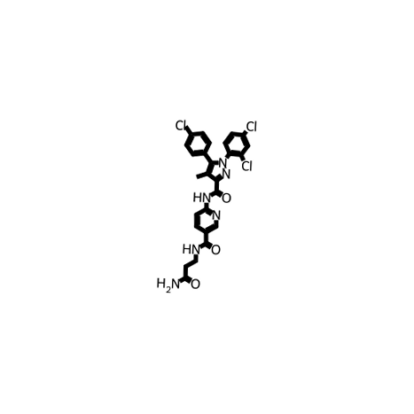 Cc1c(C(=O)Nc2ccc(C(=O)NCCC(N)=O)cn2)nn(-c2ccc(Cl)cc2Cl)c1-c1ccc(Cl)cc1